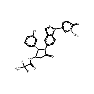 Cn1cc(-n2ncc3cc(N4C(=O)C[C@@H](NC(=O)C(C)(F)F)[C@@H]4c4cccc(Cl)c4)ccc32)ccc1=O